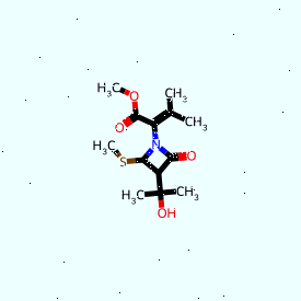 COC(=O)C(=C(C)C)N1C(=O)C(C(C)(C)O)C1SC